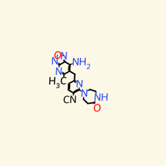 Cc1nc2nonc2c(N)c1Cc1ccc(C#N)c(N2CCNC(=O)CC2)n1